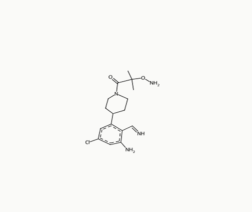 CC(C)(ON)C(=O)N1CCC(c2cc(Cl)cc(N)c2C=N)CC1